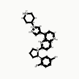 Fc1ccc(F)c([C@H]2CCCN2c2ccc3nccc(-c4cnn(C5CCNCC5)c4)c3n2)c1